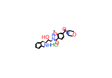 COc1cc(C(=O)N2C3CCC2COC3)ccc1C(=O)NC[C@@H](O)[C@@H]1Cc2ccccc2CN1.Cl